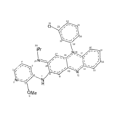 COc1ncccc1Nc1cc2nc3ccccc3n(-c3cccc(Cl)c3)c-2cc1=NC(C)C